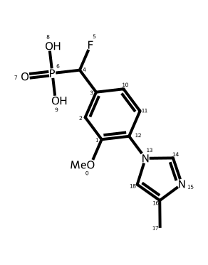 COc1cc(C(F)P(=O)(O)O)ccc1-n1cnc(C)c1